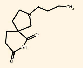 CCCCN1CCC2(CCC(=O)NC2=O)C1